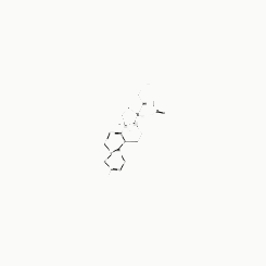 CCC(=O)O[C@@]1(C(=O)CO)CC[C@H]2c3ccc4cc(O)ccc4c3CC[C@@]21C